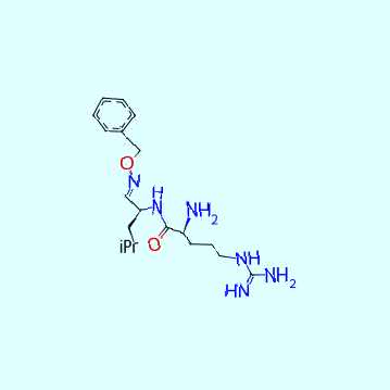 CC(C)C[C@@H](C=NOCc1ccccc1)NC(=O)[C@@H](N)CCCNC(=N)N